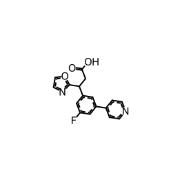 O=C(O)CC(c1cc(F)cc(-c2ccncc2)c1)c1ncco1